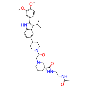 COc1ccc(-c2[nH]c3ccc(C4CCN(C(=O)CN5CCC[C@H](C(=O)NCCNC(C)=O)C5)CC4)cc3c2C(C)C)cc1OC